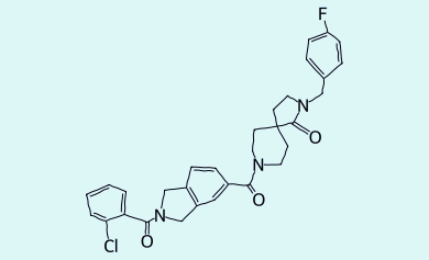 O=C(c1ccc2c(c1)CN(C(=O)c1ccccc1Cl)C2)N1CCC2(CC1)CCN(Cc1ccc(F)cc1)C2=O